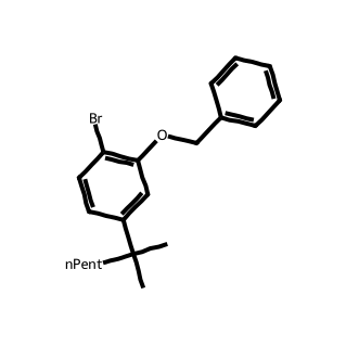 CCCCCC(C)(C)c1ccc(Br)c(OCc2ccccc2)c1